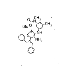 Cc1cc(Nc2ncnc(N(Cc3ccccc3)Cc3ccccc3)c2N)cc(N(C)C(=O)OC(C)(C)C)c1